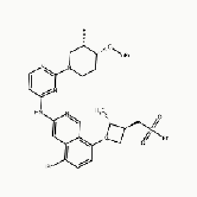 CCCO[C@@H]1CCN(c2nccc(Nc3cc4c(C(C)C)ccc(N5C[C@H](CS(=O)(=O)CC)[C@H]5C)c4cn3)n2)C[C@@H]1F